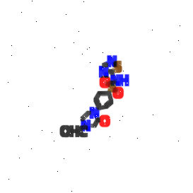 O=CN1CCN(c2ccc(S(=O)(=O)Nc3ncns3)cc2)C(=O)C1